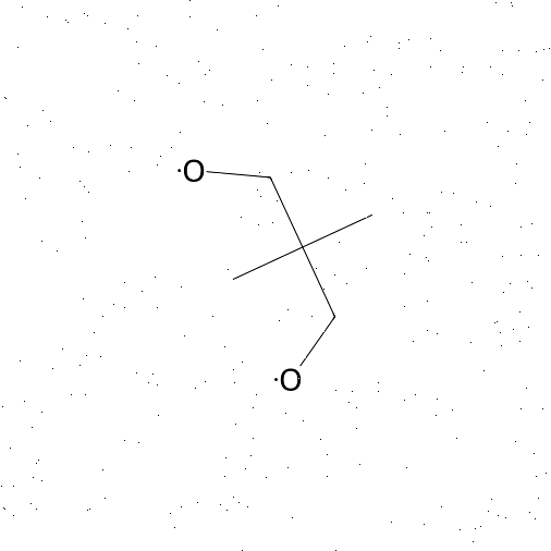 CC(C)(C[O])C[O]